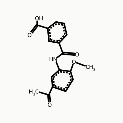 COc1ccc(C(C)=O)cc1NC(=O)c1cccc(C(=O)O)c1